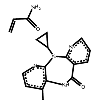 C=CC(N)=O.Cc1ccnc2c1NC(=O)c1cccnc1N2C1CC1